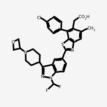 Cc1cc2nc(-c3ccc4c(c3)c(C3CCN(C5COC5)CC3)nn4C(F)F)sc2c(-c2ccc(Cl)cc2)c1CC(=O)O